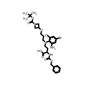 CC(C)(C)OC(=O)N1CC(OCCCN(CCC(NC(=O)OCc2ccccc2)C(=O)O)c2c(N)cc(Br)cc2Cl)C1